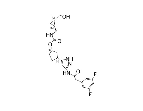 O=C(Cc1cc(F)cc(F)c1)Nc1cc([C@@H]2CC[C@H](OC(=O)NC[C@H]3C[C@@H]3CO)C2)[nH]n1